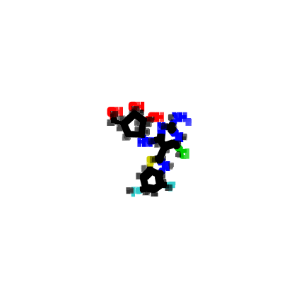 Nc1nc(Cl)c(-c2nc3c(F)cc(F)cc3s2)c(N[C@@H]2C[C@H](CO)[C@@H](O)[C@H]2O)n1